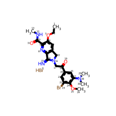 Br.CCOc1cc2c(nc1C(=O)NC)C(=N)N(CC(=O)c1cc(Br)c(OC)c(N(C)C)c1)C2